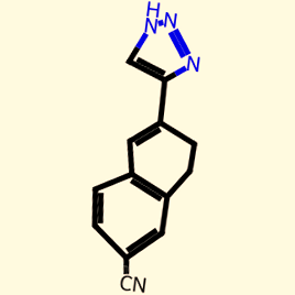 N#Cc1ccc2c(c1)CCC(c1c[nH]nn1)=C2